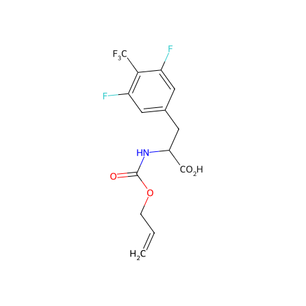 C=CCOC(=O)NC(Cc1cc(F)c(C(F)(F)F)c(F)c1)C(=O)O